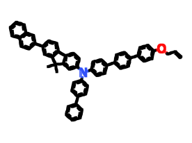 C=CCOc1ccc(-c2ccc(-c3ccc(N(c4ccc(-c5ccccc5)cc4)c4ccc5c(c4)C(C)(C)c4cc(-c6ccc7ccccc7c6)ccc4-5)cc3)cc2)cc1